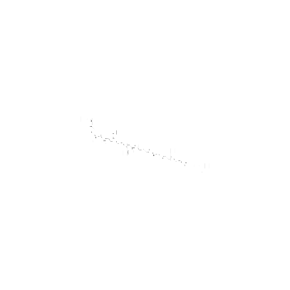 O=CC(NCC(O)CO)C(NCCNCCNCC(=O)NCCCNC(=O)CNCCNCCNCC(=O)O)C(=O)O